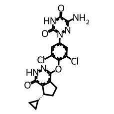 Nc1nn(-c2cc(Cl)c(Oc3n[nH]c(=O)c4c3CC[C@@H]4C3CC3)c(Cl)c2)c(=O)[nH]c1=O